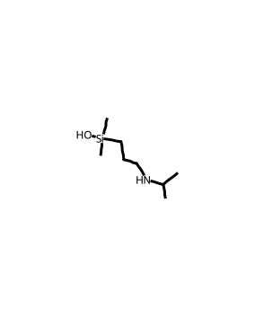 CC(C)NCCC[Si](C)(C)O